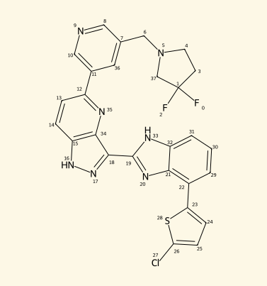 FC1(F)CCN(Cc2cncc(-c3ccc4[nH]nc(-c5nc6c(-c7ccc(Cl)s7)cccc6[nH]5)c4n3)c2)C1